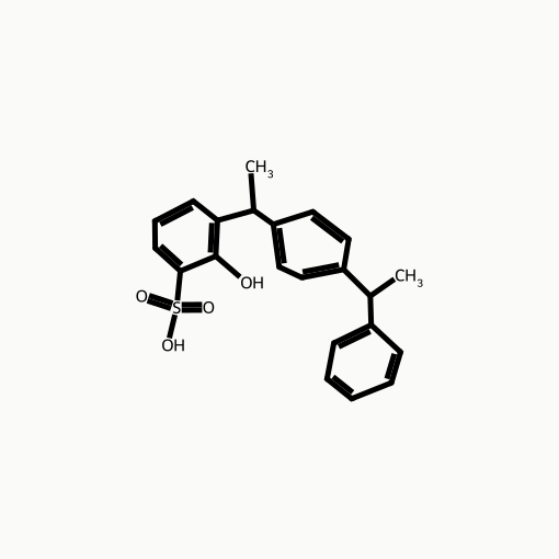 CC(c1ccccc1)c1ccc(C(C)c2cccc(S(=O)(=O)O)c2O)cc1